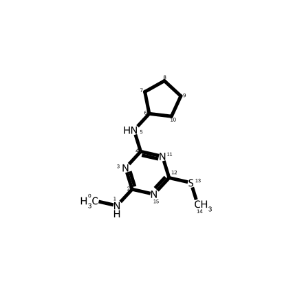 CNc1nc(NC2CCCC2)nc(SC)n1